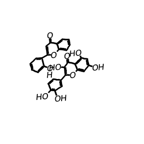 O=c1c(O)c(-c2ccc(O)c(O)c2)oc2cc(O)cc(O)c12.O=c1cc(-c2ccccc2O)oc2ccccc12